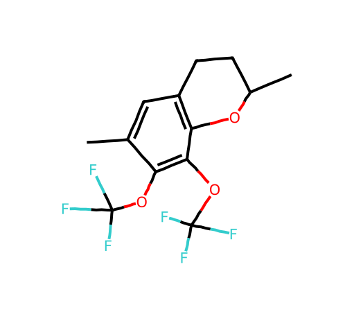 Cc1cc2c(c(OC(F)(F)F)c1OC(F)(F)F)OC(C)CC2